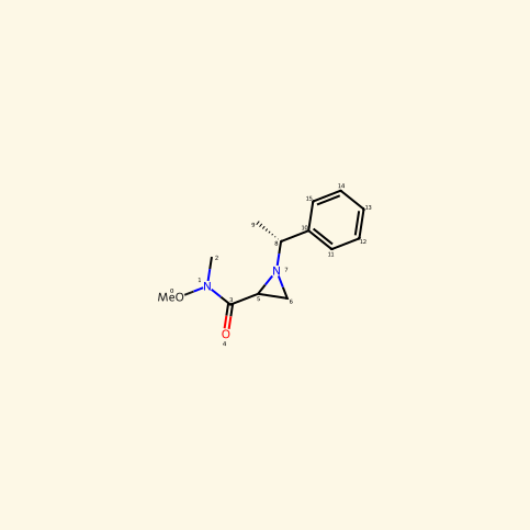 CON(C)C(=O)C1CN1[C@H](C)c1ccccc1